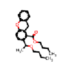 CCCCOC(=O)c1c(C(C)OCCCC)ccc2c1Cc1ccccc1O2